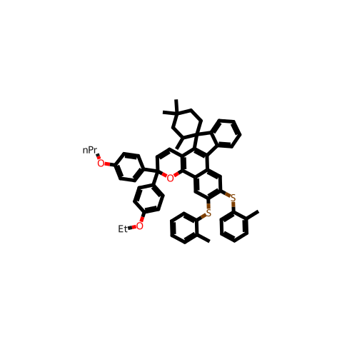 CCCOc1ccc(C2(c3ccc(OCC)cc3)C=Cc3c4c(c5cc(Sc6ccccc6C)c(Sc6ccccc6C)cc5c3O2)-c2ccccc2C42CCC(C)(C)CC2C)cc1